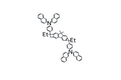 CCC1(c2ccc(N(c3ccc4ccccc4c3)c3ccc4ccccc4c3)cc2)Cc2cc3c(cc21)C(C)(C)c1cc2c(cc1-3)C2(CC)c1ccc(N(c2ccc3ccccc3c2)c2ccc3ccccc3c2)cc1